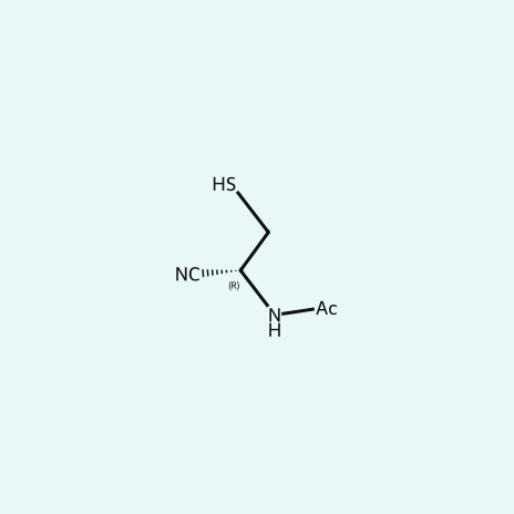 CC(=O)N[C@H](C#N)CS